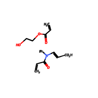 C=CC(=O)N(C=CC(=O)O)C(C)C.C=CC(=O)OCCO